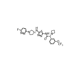 O=C(Nc1nnc(N[C@@H]2CCN(c3ccc(F)nn3)C2)s1)C(c1cccc(OC(F)(F)F)c1)N1CCC1